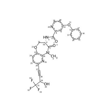 CN1C(=O)[C@@H](NC(=O)c2cc(Oc3ccccc3)ccn2)COc2ccc(C#CC(O)C(F)(F)F)nc21